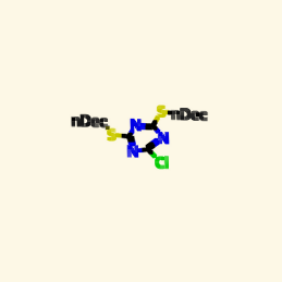 CCCCCCCCCCSc1nc(Cl)nc(SCCCCCCCCCC)n1